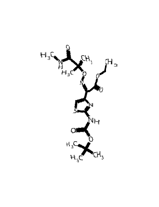 CCOC(=O)C(=NOC(C)(C)C(=O)NC)c1csc(NC(=O)OC(C)(C)C)n1